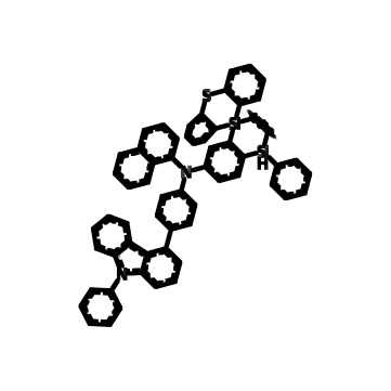 c1ccc(-n2c3ccccc3c3c(-c4ccc(N(c5ccc6c(c5)[Si]5(c7ccccc7Sc7ccccc75)c5ccccc5[SiH]6c5ccccc5)c5cccc6ccccc56)cc4)cccc32)cc1